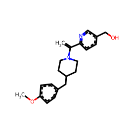 C=C(c1ccc(CO)cn1)N1CCC(Cc2ccc(OC)cc2)CC1